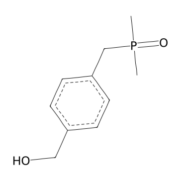 CP(C)(=O)Cc1ccc(CO)cc1